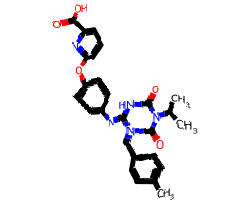 Cc1ccc(Cn2c(=O)n(C(C)C)c(=O)[nH]/c2=N\c2ccc(Oc3cccc(C(=O)O)n3)cc2)cc1